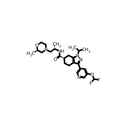 CC(C)n1nc(-c2cncc(OC(F)F)c2)c2c1C[C@H](C(=O)N[C@@H](C)CN1CCO[C@H](C)C1)CC2